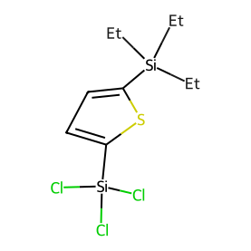 CC[Si](CC)(CC)c1ccc([Si](Cl)(Cl)Cl)s1